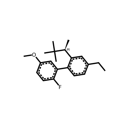 CCc1ccc(-c2cc(OC)ccc2F)c([C@H](C)C(C)(C)C)c1